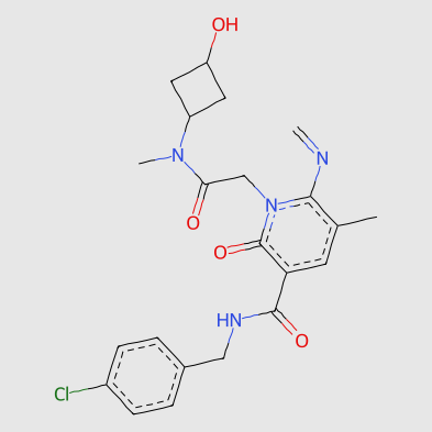 C=Nc1c(C)cc(C(=O)NCc2ccc(Cl)cc2)c(=O)n1CC(=O)N(C)C1CC(O)C1